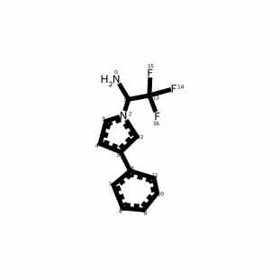 NC(n1ccc(-c2ccccc2)c1)C(F)(F)F